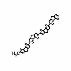 Cc1cc2c(s1)-c1sc(C3C=C4Cc5cc(-c6cc7c(s6)-c6sc(C8C=C9Cc%10ccsc%10C9S8)cc6C7)sc5C4S3)cc1C2